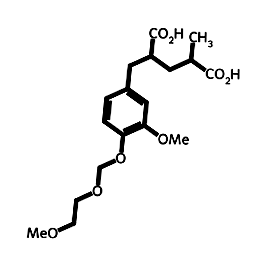 COCCOCOc1ccc(CC(CC(C)C(=O)O)C(=O)O)cc1OC